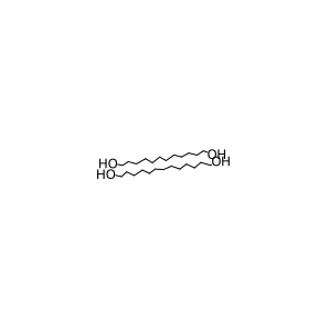 OCCCCCCCCCCCCCO.OCCCCCCCCCCCCO